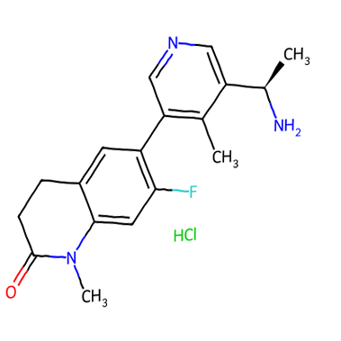 Cc1c(-c2cc3c(cc2F)N(C)C(=O)CC3)cncc1[C@@H](C)N.Cl